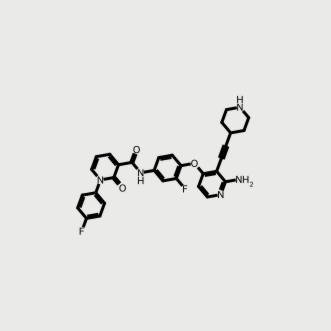 Nc1nccc(Oc2ccc(NC(=O)c3cccn(-c4ccc(F)cc4)c3=O)cc2F)c1C#CC1CCNCC1